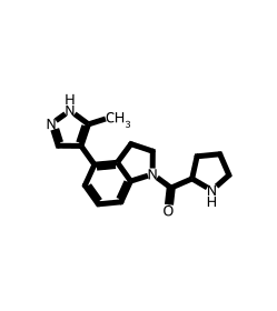 Cc1[nH]ncc1-c1cccc2c1CCN2C(=O)C1CCCN1